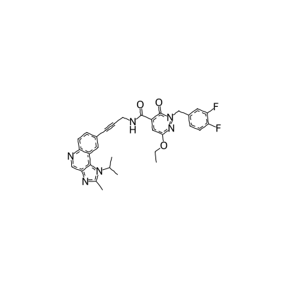 CCOc1cc(C(=O)NCC#Cc2ccc3ncc4nc(C)n(C(C)C)c4c3c2)c(=O)n(Cc2ccc(F)c(F)c2)n1